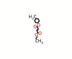 CCCOC(=O)/C=C/C(=O)OC1CCC(C)CC1